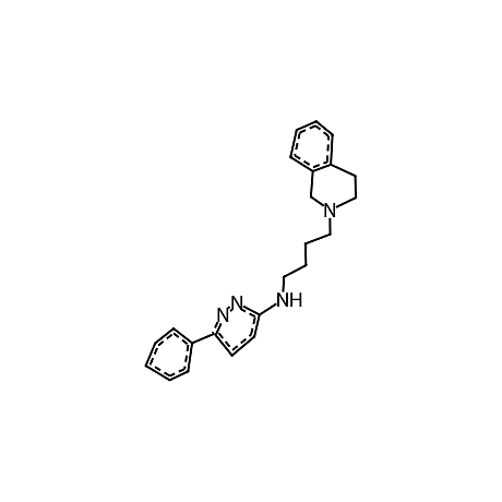 c1ccc(-c2ccc(NCCCCN3CCc4ccccc4C3)nn2)cc1